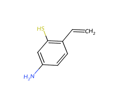 C=Cc1ccc(N)cc1S